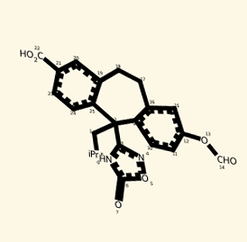 CC(C)CC1(c2noc(=O)[nH]2)c2ccc(OC=O)cc2CCc2cc(C(=O)O)ccc21